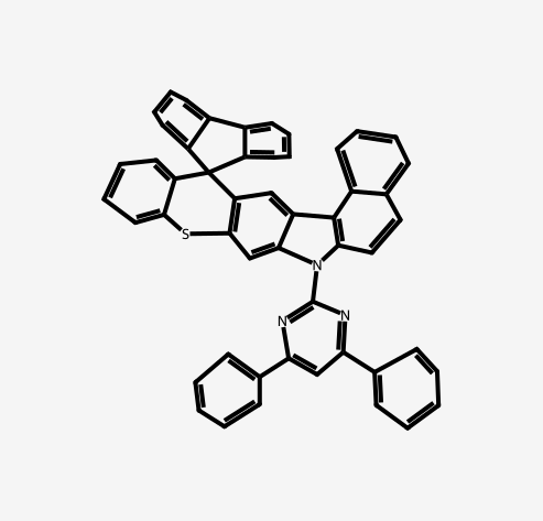 c1ccc(-c2cc(-c3ccccc3)nc(-n3c4cc5c(cc4c4c6ccccc6ccc43)C3(c4ccccc4S5)c4ccccc4-c4ccccc43)n2)cc1